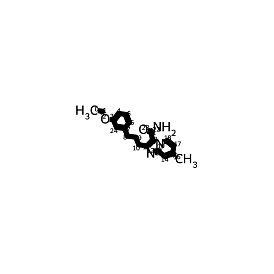 CCOc1cccc(CCCc2nc3cc(C)ccn3c2C(N)=O)c1